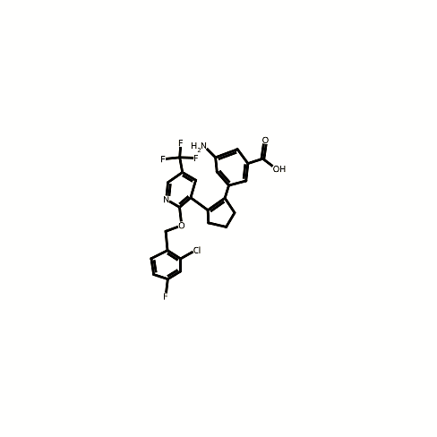 Nc1cc(C(=O)O)cc(C2=C(c3cc(C(F)(F)F)cnc3OCc3ccc(F)cc3Cl)CCC2)c1